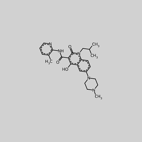 Cc1cccnc1NC(=O)c1c(O)c2cc(N3CCN(C)CC3)ccc2n(CC(C)C)c1=O